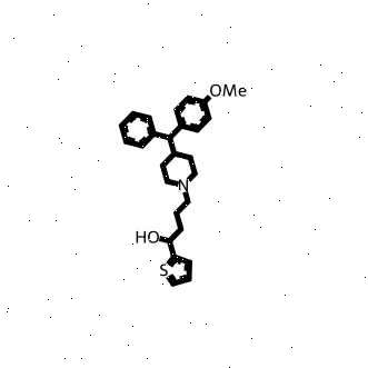 COc1ccc(C(c2ccccc2)C2CCN(CCCC(O)c3cccs3)CC2)cc1